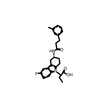 CCC(C(=O)O)n1c2c(c3cc(F)ccc31)C[C@@H](NC(=O)CCc1cccc(C)c1)CC2